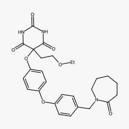 CCOCCC1(Oc2ccc(Oc3ccc(CN4CCCCCC4=O)cc3)cc2)C(=O)NC(=O)NC1=O